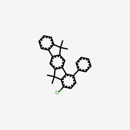 CC1(C)c2ccccc2-c2cc3c(cc21)-c1c(-c2ccccc2)ccc(Cl)c1C3(C)C